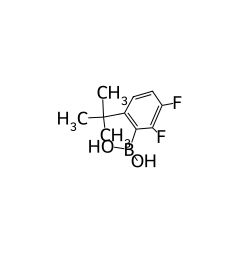 CC(C)(C)c1ccc(F)c(F)c1B(O)O